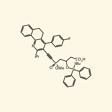 COP(=O)(C#Cc1c(C(C)C)nc2c(c1-c1ccc(F)cc1)CCc1ccccc1-2)CC(CC(=O)O)O[Si](c1ccccc1)(c1ccccc1)C(C)(C)C